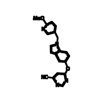 COc1ccc(Cn2ccc3cc(Oc4cc(C#N)ncn4)ccc32)cn1